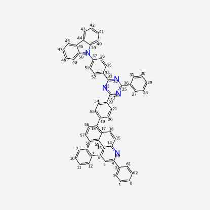 c1ccc(-c2cc(-c3ccccc3)c3c(ccc4c(-c5ccc(-c6nc(-c7ccccc7)nc(-c7ccc(-n8c9ccccc9c9ccccc98)cc7)n6)cc5)cccc43)n2)cc1